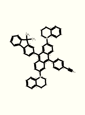 CC1(C)c2ccccc2-c2ccc(-c3c4ccc(N5CCCc6ccccc65)cc4c(-c4ccc(C#N)cc4)c4ccc(N5CCCc6ccccc65)cc34)cc21